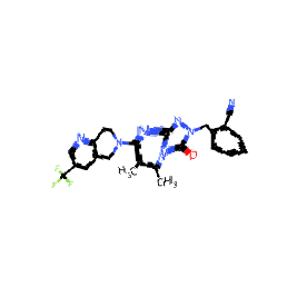 Cc1c(N2CCc3ncc(C(F)(F)F)cc3C2)nc2nn(Cc3ccccc3C#N)c(=O)n2c1C